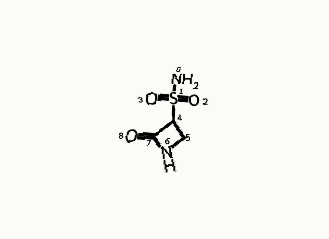 NS(=O)(=O)C1CNC1=O